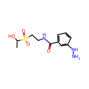 CC(O)S(=O)(=O)CCNC(=O)c1cccc(NN)c1